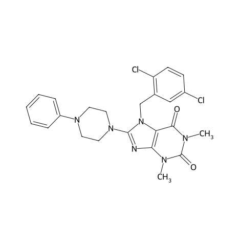 Cn1c(=O)c2c(nc(N3CCN(c4ccccc4)CC3)n2Cc2cc(Cl)ccc2Cl)n(C)c1=O